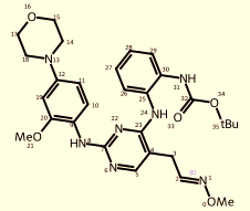 CO/N=C/Cc1cnc(Nc2ccc(N3CCOCC3)cc2OC)nc1Nc1ccccc1NC(=O)OC(C)(C)C